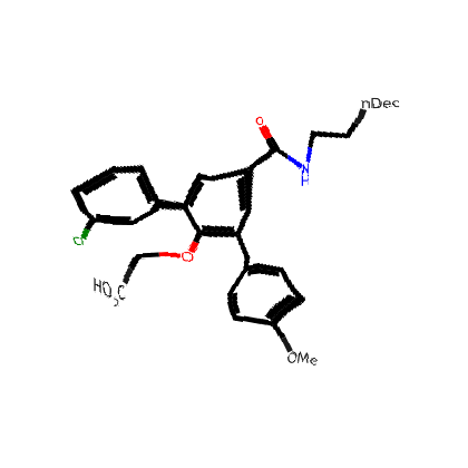 CCCCCCCCCCCCNC(=O)c1cc(-c2ccc(OC)cc2)c(OCC(=O)O)c(-c2cccc(Cl)c2)c1